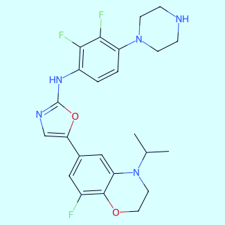 CC(C)N1CCOc2c(F)cc(-c3cnc(Nc4ccc(N5CCNCC5)c(F)c4F)o3)cc21